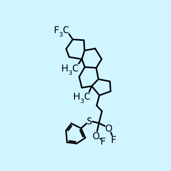 CC12CCC3C(CCC4CC(C(F)(F)F)CCC43C)C1CCC2CCC(OF)(OF)Sc1ccccc1